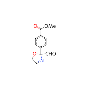 COC(=O)c1ccc(C2(C=O)N=CCO2)cc1